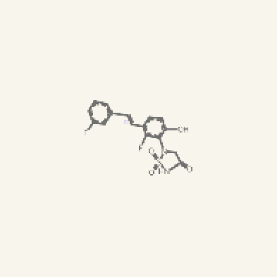 O=C1CN(c2c(O)ccc(/C=C/c3cccc(F)c3)c2F)S(=O)(=O)N1